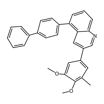 COc1cc(-c2cnc3cccc(-c4ccc(-c5ccccc5)cc4)c3c2)cc(C)c1OC